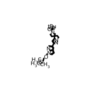 CC(C)(C)OC(=O)N1CCC2(CCn3nc(-c4cnc5c(ccn5COCC[Si](C)(C)C)c4)cc32)C1